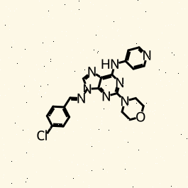 Clc1ccc(C=Nn2cnc3c(Nc4ccncc4)nc(N4CCOCC4)nc32)cc1